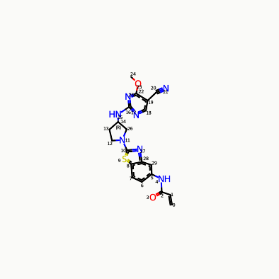 C=CC(=O)Nc1ccc2sc(N3CC[C@@H](Nc4ncc(C#N)c(OC)n4)C3)nc2c1